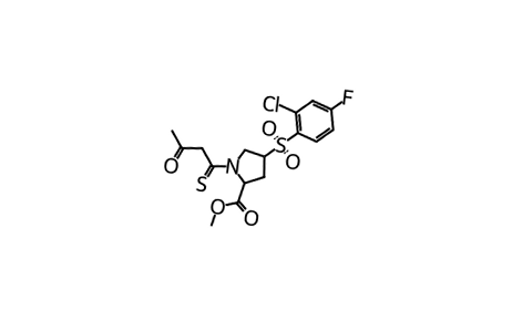 COC(=O)C1CC(S(=O)(=O)c2ccc(F)cc2Cl)CN1C(=S)CC(C)=O